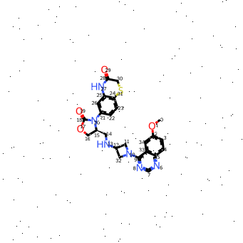 COc1ccc2ncnc(N3CC(NC[C@H]4COC(=O)N4c4ccc5c(c4)NC(=O)CS5)C3)c2c1